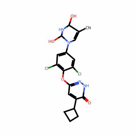 N#CC1=CN(c2cc(Cl)c(Oc3cc(C4CCC4)c(=O)[nH]n3)c(Cl)c2)C(O)NC1O